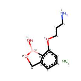 Cl.NCCCOc1cccc2c1B(O)OC2